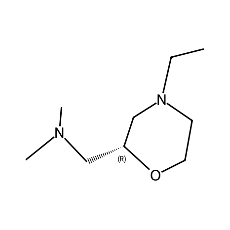 CCN1CCO[C@H](CN(C)C)C1